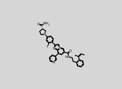 C/C=C(/C)c1ccccc1CCNC(=O)c1cc(-c2cccnc2)c2nc(-c3ccc(N4CC[C@H](C(N)=O)C4)cc3F)cn2c1